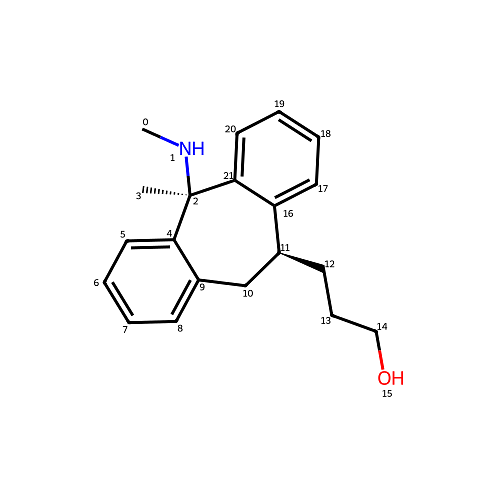 CN[C@]1(C)c2ccccc2C[C@H](CCCO)c2ccccc21